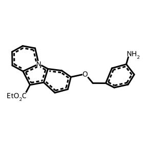 CCOC(=O)c1c2ccc(OCc3cccc(N)c3)cc2n2ccccc12